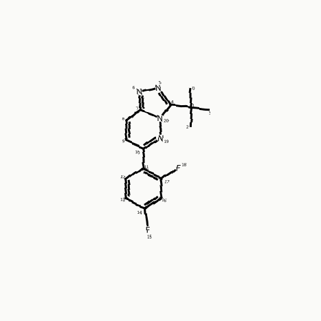 CC(C)(C)c1nnc2ccc(-c3ccc(F)cc3F)nn12